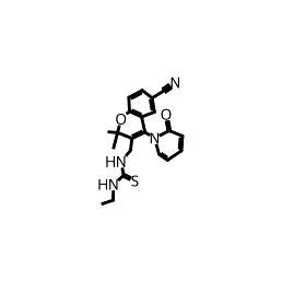 CCNC(=S)NCC1=C(n2ccccc2=O)c2cc(C#N)ccc2OC1(C)C